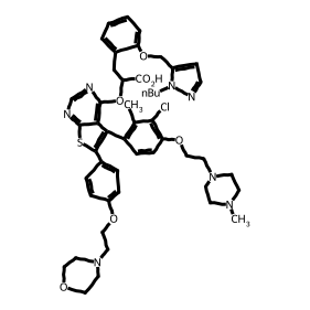 CCCCn1nccc1COc1ccccc1CC(Oc1ncnc2sc(-c3ccc(OCCN4CCOCC4)cc3)c(-c3ccc(OCCN4CCN(C)CC4)c(Cl)c3C)c12)C(=O)O